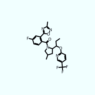 CCC(Oc1ccc(C(F)(F)F)cn1)C1CC(C)CN1C(=O)c1ccc(F)cc1-c1nc(C)no1